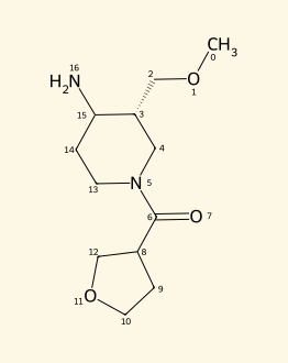 COC[C@@H]1CN(C(=O)C2CCOC2)CCC1N